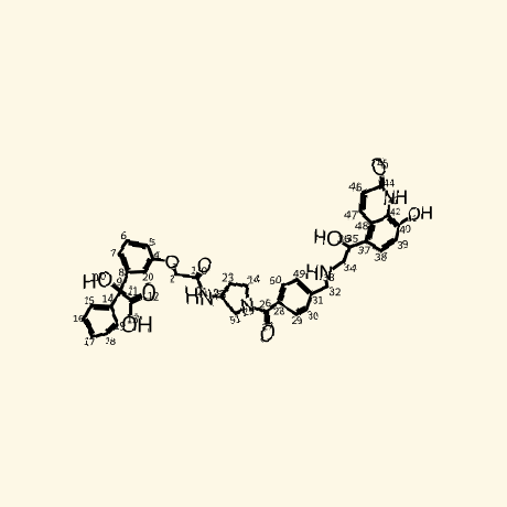 O=C(COc1cccc(C(O)(C(=O)O)c2ccccc2)c1)N[C@H]1CCN(C(=O)c2ccc(CNCC(O)c3ccc(O)c4[nH]c(=O)ccc34)cc2)C1